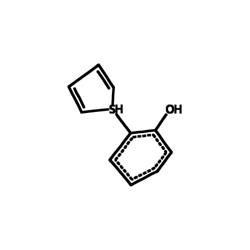 Oc1ccccc1[SH]1C=CC=C1